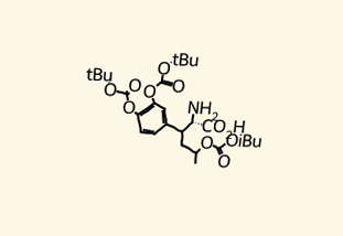 CC(C)COC(=O)OC(C)CC(c1ccc(OC(=O)OC(C)(C)C)c(OC(=O)OC(C)(C)C)c1)[C@H](N)C(=O)O